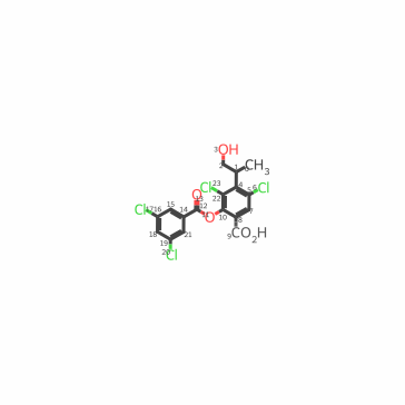 CC(CO)c1c(Cl)cc(C(=O)O)c(OC(=O)c2cc(Cl)cc(Cl)c2)c1Cl